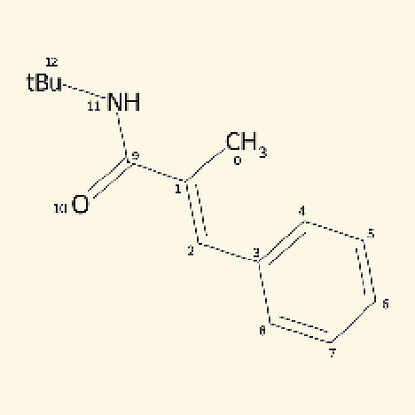 C/C(=C\c1ccccc1)C(=O)NC(C)(C)C